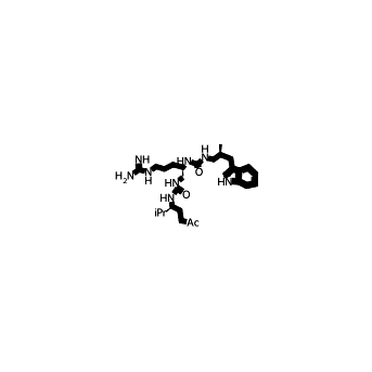 CC(=O)CC[C@@H](NC(=O)NC[C@H](CCCNC(=N)N)NC(=O)NC[C@@H](C)Cc1c[nH]c2ccccc12)C(C)C